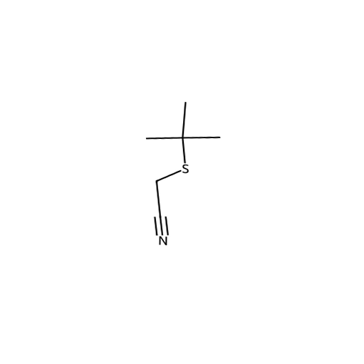 CC(C)(C)SCC#N